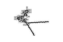 CCCCCCCCCCCCC/C=C/[C@@H](O)[C@H](CO[C@@H]1OC(CO)[C@@H](O[C@@H]2OC(CO[C@@H]3OC(CO)[C@@H](O[C@@H]4OC(CO)[C@H](O)[C@H](O)C4O)[C@H](O)C3NC(C)=O)[C@H](O)[C@H](O[C@H]3OC(CO)[C@H](O)[C@H](O)C3O)C2O)[C@H](O)C1O)NC(=O)CCCCCCCCCCCCCCCCCCCCCCC